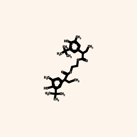 CCC(C(=O)OCCOC(=O)C(CC)c1cc(C)c(O)c(C(C)(C)C)c1)c1cc(C)c(O)c(C(C)(C)C)c1